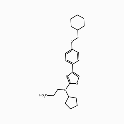 O=C(O)CCN(c1nc(-c2ccc(OCC3CCCCC3)cc2)cs1)C1CCCC1